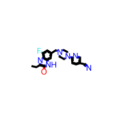 CCc1nc2c(F)cc(CN3CCN(c4ccc(C#N)cn4)CC3)cc2[nH]c1=O